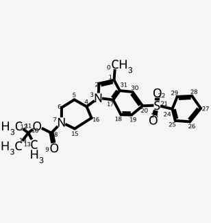 Cc1cn(C2CCN(C(=O)OC(C)(C)C)CC2)c2ccc(S(=O)(=O)c3ccccc3)cc12